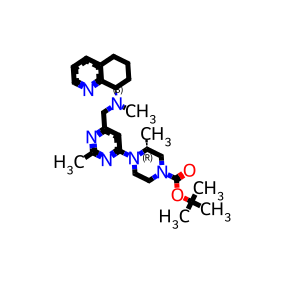 Cc1nc(CN(C)[C@H]2CCCc3cccnc32)cc(N2CCN(C(=O)OC(C)(C)C)C[C@H]2C)n1